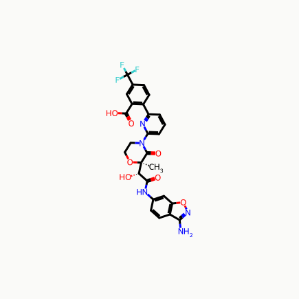 C[C@]1([C@@H](O)C(=O)Nc2ccc3c(N)noc3c2)OCCN(c2cccc(-c3ccc(C(F)(F)F)cc3C(=O)O)n2)C1=O